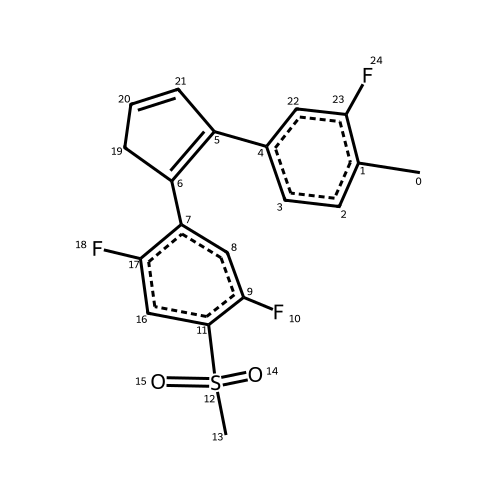 Cc1ccc(C2=C(c3cc(F)c(S(C)(=O)=O)cc3F)CC=C2)cc1F